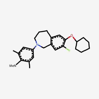 CNc1c(C)cc(N2CCCc3cc(OC4CCCCC4)c(F)cc3C2)cc1C